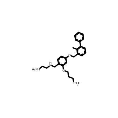 CC(=O)NCCNCc1ccc(OCc2cccc(-c3ccccc3)c2C)cc1OCCCC(=O)O